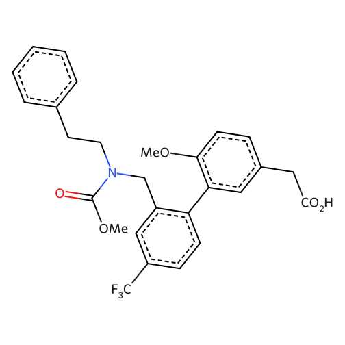 COC(=O)N(CCc1ccccc1)Cc1cc(C(F)(F)F)ccc1-c1cc(CC(=O)O)ccc1OC